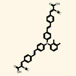 [C-]#[N+]/C(=C\c1ccc(/C=C/c2ccc(N(c3ccc(/C=C/c4ccc(/C=C(\[N+]#[C-])C(=O)O)cc4)cc3)c3cccc(C)c3C)cc2)cc1)C(=O)O